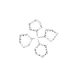 [c]1ccccc1[Si](c1ccccc1)(c1ccccc1)c1ccccc1